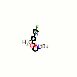 CC(C)(C)CC1=CCC=CC(CC(C)(O)c2ccc(-c3ccc(F)cn3)cc2)=N1